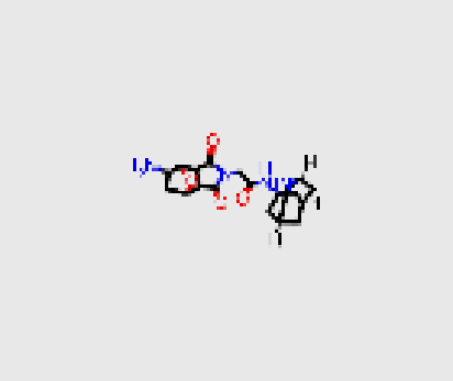 NC1CC2OC1C1C(=O)N(CC(=O)N[C@@]34C[C@@H]5C[C@@H](C[C@H](C5)N3)C4)C(=O)C21